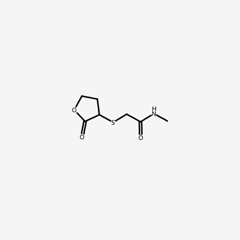 CNC(=O)CSC1CCOC1=O